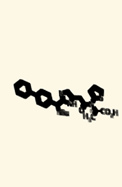 CCCCC(c1ccc(-c2ccccc2)cc1)c1ncc(CC(=O)N(c2cccs2)[C@@H](C)C(=O)O)[nH]1